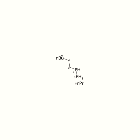 CCCCCCP[PH3]CCC